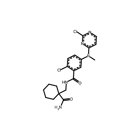 CN(c1ccc(Cl)c(C(=O)NCC2(C(N)=O)CCCCC2)c1)c1ccnc(Cl)n1